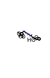 COc1cc(/C=C\CC/C=C/C=C(\C)CCC(O)c2cc3ccccc3o2)cc(OC)c1OC